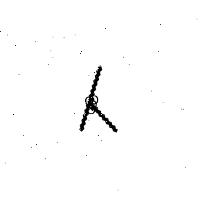 CCCCCCCCCCCCCC(=O)OC(CCCCCCCCCCC)OC(=O)CCCCCCCCCCCCC